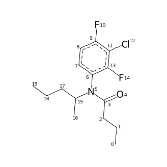 CCCC(=O)N(c1ccc(F)c(Cl)c1F)C(C)CCC